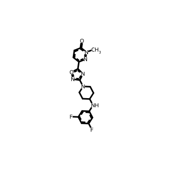 Cn1nc(-c2nc(N3CCC(Nc4cc(F)cc(F)c4)CC3)no2)ccc1=O